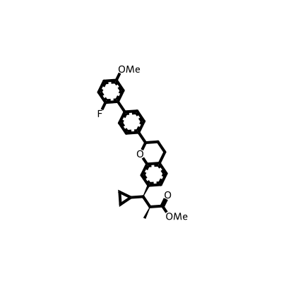 COC(=O)[C@@H](C)[C@H](c1ccc2c(c1)OC(c1ccc(-c3cc(OC)ccc3F)cc1)CC2)C1CC1